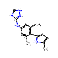 Cc1ccc(-c2c(C)cc(Nc3nc[nH]n3)cc2C)[nH]1